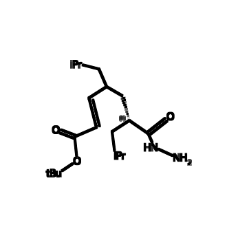 CC(C)CC(C=CC(=O)OC(C)(C)C)C[C@@H](CC(C)C)C(=O)NN